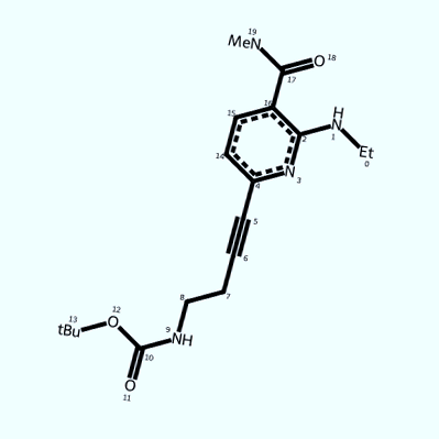 CCNc1nc(C#CCCNC(=O)OC(C)(C)C)ccc1C(=O)NC